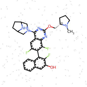 CN1CCC[C@H]1COc1nc(N2CC3CCC(C2)N3)c2cc(F)c(-c3c(F)c(O)cc4ccccc34)c(F)c2n1